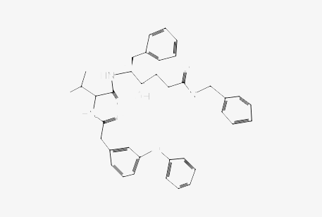 CC(C)C(NC(=O)Cc1cccc(Oc2ccccc2)c1)C(=O)N[C@@H](Cc1ccccc1)[C@@H](O)CCC(=O)NCc1ccccc1